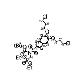 CCOP(=O)(CN(C(=O)OC(C)(C)C)S(=O)(=O)c1cc2cc(OCCCCl)c(OCCCCl)cc2s1)OCC